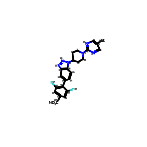 CCc1cnc(N2CCC(n3nnc4cc(-c5c(F)cc(C(=O)O)cc5F)ccc43)CC2)nc1